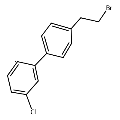 Clc1cc[c]c(-c2ccc(CCBr)cc2)c1